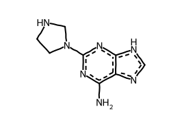 Nc1nc(N2CCNC2)nc2[nH]cnc12